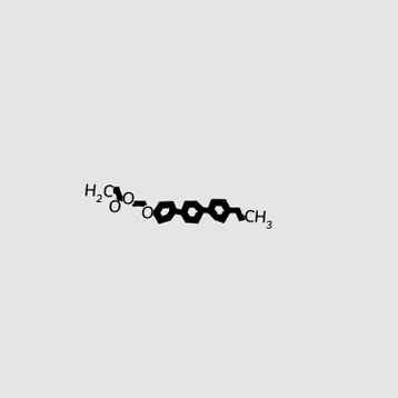 C=CC(=O)OCCOc1ccc(-c2ccc(-c3ccc(CCC)cc3)cc2)cc1